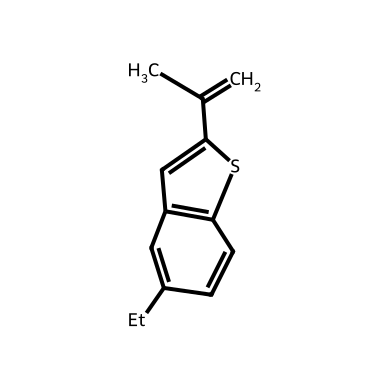 C=C(C)c1cc2cc(CC)ccc2s1